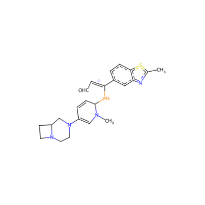 Cc1nc2cc(/C(=C/C=O)PC3C=CC(N4CCN5CCC5C4)=CN3C)ccc2s1